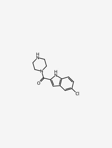 O=C(c1cc2cc(Cl)ccc2[nH]1)N1CCNCC1